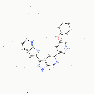 c1cnc2[nH]c(-c3n[nH]c4cnc(-c5cncc(OC6CCCCC6)c5)cc34)cc2c1